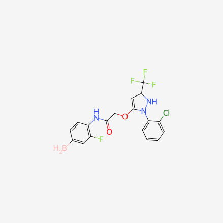 Bc1ccc(NC(=O)COC2=CC(C(F)(F)F)NN2c2ccccc2Cl)c(F)c1